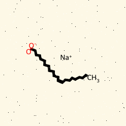 CCCCCCCC/C=C\CCCCCCCCCCCC(=O)[O-].[Na+]